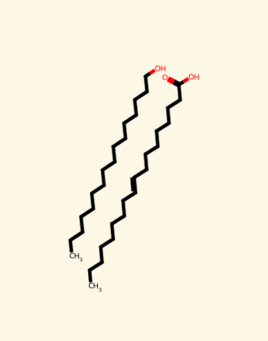 CCCCCCCCC=CCCCCCCCC(=O)O.CCCCCCCCCCCCCCCCO